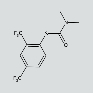 CN(C)C(=O)Sc1ccc(C(F)(F)F)cc1C(F)(F)F